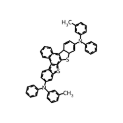 Cc1cccc(N(C2=CC3Sc4c(c5ccccc5c5c4sc4cc(N(c6ccccc6)c6cccc(C)c6)ccc45)C3C=C2)c2ccccc2)c1